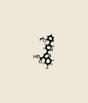 CCOc1ccccc1-c1ccc(-c2cc(C(=O)O)c3cc(I)ccc3n2)nc1